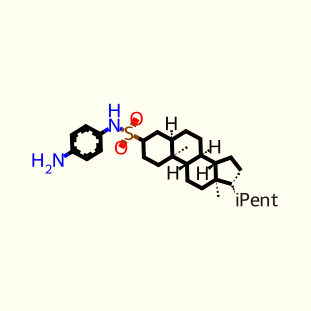 CCC[C@@H](C)[C@H]1CC[C@H]2[C@@H]3CC[C@@H]4CC(S(=O)(=O)Nc5ccc(N)cc5)CC[C@]4(C)[C@H]3CC[C@]12C